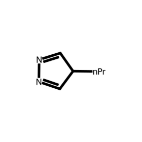 CCCC1C=NN=C1